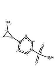 CNS(=O)(=O)c1ccc(C2CC2N)cc1